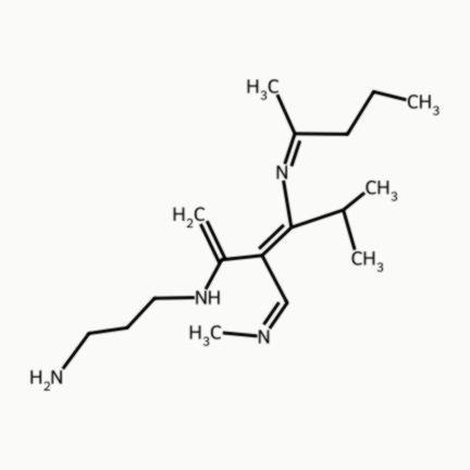 C=C(NCCCN)C(/C=N\C)=C(\N=C(\C)CCC)C(C)C